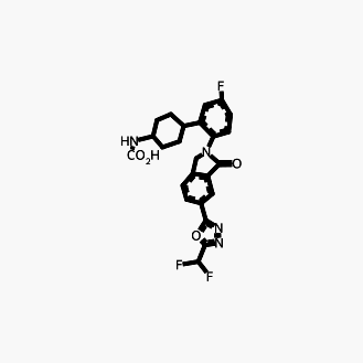 O=C(O)NC1CCC(c2cc(F)ccc2N2Cc3ccc(-c4nnc(C(F)F)o4)cc3C2=O)CC1